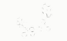 CC1(C)c2ccccc2-c2ccc(N(c3ccc(-c4ccc(-c5ccccc5)c(-c5ccc(-c6ccc7ccc8cccc9ccc6c7c89)cc5)c4)cc3)c3ccccc3-c3ccccc3)cc21